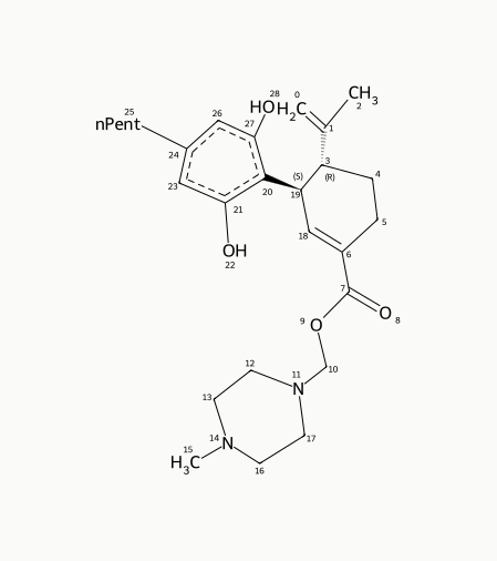 C=C(C)[C@@H]1CCC(C(=O)OCN2CCN(C)CC2)=C[C@H]1c1c(O)cc(CCCCC)cc1O